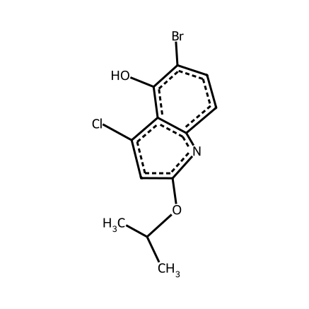 CC(C)Oc1cc(Cl)c2c(O)c(Br)ccc2n1